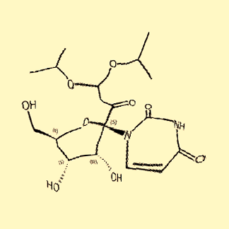 CC(C)OC(OC(C)C)C(=O)[C@@]1(n2ccc(=O)[nH]c2=O)O[C@H](CO)[C@@H](O)[C@H]1O